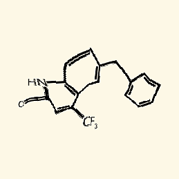 O=c1cc(C(F)(F)F)c2cc(Cc3ccccc3)ccc2[nH]1